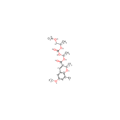 CCc1cc(OC(F)(F)F)cc2c1OC(C(F)(F)F)C(C(=O)OC(C)OC(=O)OC(C)CO[N+](=O)[O-])=C2